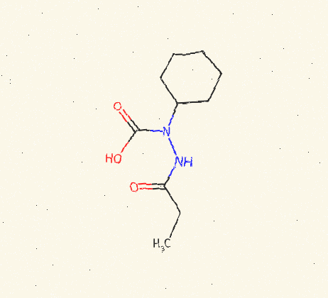 CCC(=O)NN(C(=O)O)C1CCCCC1